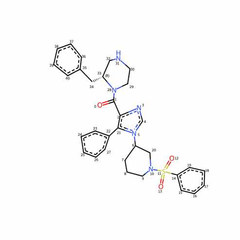 O=C(c1ncn(C2CCCN(S(=O)(=O)c3ccccc3)C2)c1-c1ccccc1)N1CCNC[C@H]1Cc1ccccc1